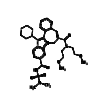 COCCN(CCOC)C(=O)C1=Cc2ccccc2-c2c(C3CCCCC3)c3ccc(C(=O)NS(=O)(=O)N(C)C)cc3n2C1